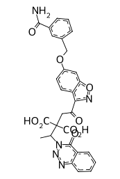 CC(n1nnc2ccccc2c1=O)C(CC(=O)c1noc2cc(OCc3cccc(C(N)=O)c3)ccc12)(C(=O)O)C(=O)O